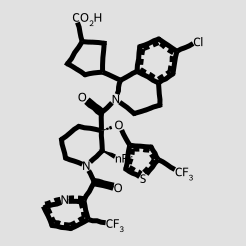 CCC[C@H]1N(C(=O)c2ncccc2C(F)(F)F)CCC[C@@]1(Oc1csc(C(F)(F)F)c1)C(=O)N1CCc2cc(Cl)ccc2C1C1CCC(C(=O)O)C1